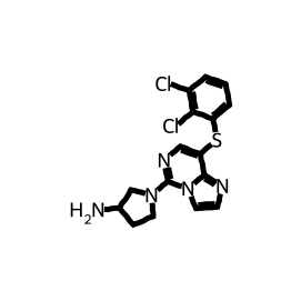 NC1CCN(c2ncc(Sc3cccc(Cl)c3Cl)c3nccn23)C1